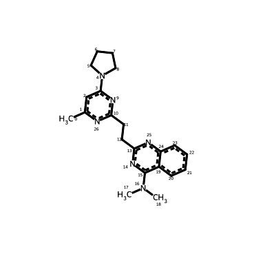 Cc1cc(N2CCCC2)nc(CCc2nc(N(C)C)c3ccccc3n2)n1